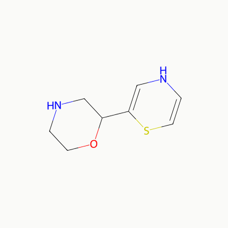 C1=CSC(C2CNCCO2)=CN1